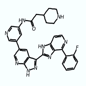 O=C(CC1CCNCC1)Nc1cncc(-c2cnc3[nH]nc(-c4nc5c(-c6ccccc6F)nccc5[nH]4)c3c2)c1